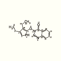 CCc1c[pH]c(On2nnc3ccccc3c2=O)c1CC